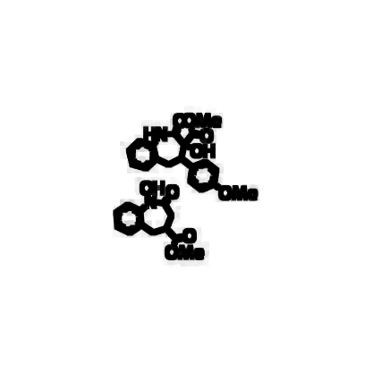 COC(=O)C1(O)C(=O)Nc2ccccc2CC1c1ccc(OC)cc1.COC(=O)C1CC(=O)N(O)c2ccccc2C1